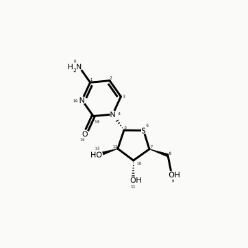 Nc1ccn([C@@H]2S[C@@H](CO)[C@H](O)[C@H]2O)c(=O)n1